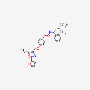 Cc1oc(-c2ccco2)nc1COc1ccc(CON=C(CC(C)C(=O)O)c2ccccc2)cc1